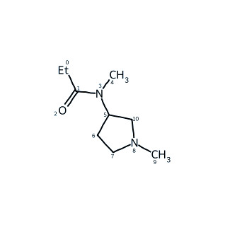 CCC(=O)N(C)C1CCN(C)C1